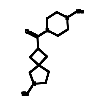 CC(C)(C)N1CCN(C(=O)C2CC3(CCN(C(C)(C)C)C3)C2)CC1